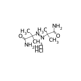 CC(C)(N=NC(C)(C)C(N)=O)C(N)=O.Cl.Cl